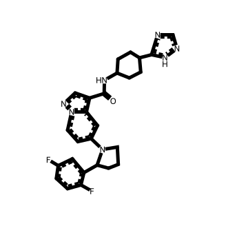 O=C(NC1CCC(c2ncn[nH]2)CC1)c1cnn2ccc(N3CCCC3c3cc(F)ccc3F)cc12